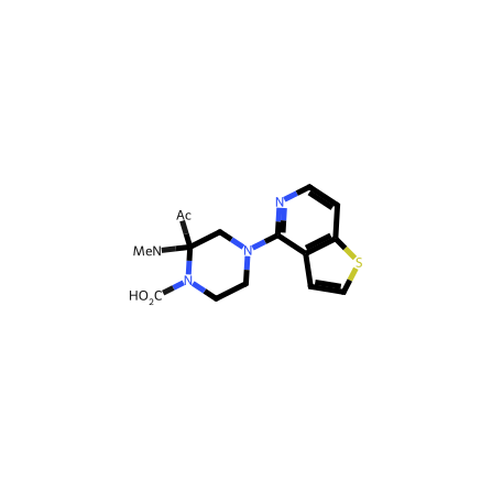 CNC1(C(C)=O)CN(c2nccc3sccc23)CCN1C(=O)O